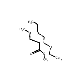 CCOCCOCC.COCCC(=O)OC